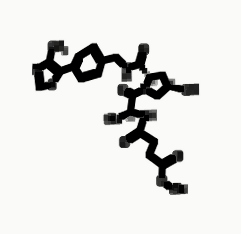 Cc1ncsc1-c1ccc(CNC(=O)[C@@H]2C[C@@H](O)CN2C(=O)[C@@H](NC(=O)CCC(=O)OC(C)(C)C)C(C)(C)C)cc1